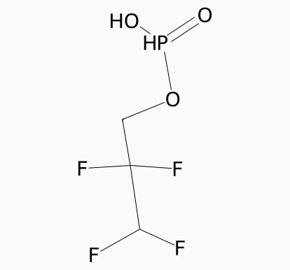 O=[PH](O)OCC(F)(F)C(F)F